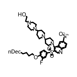 CCCCCCCCCCCCCCOc1ccc(S(=O)(=O)c2cnc3ccc([S@@+](C)[O-])cc3c2N2CCC(N3CCC(N4CCN(CCO)CC4)CC3)CC2)cc1F